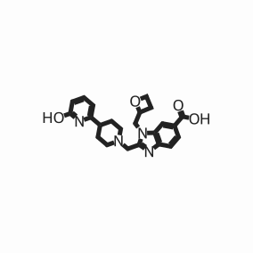 O=C(O)c1ccc2nc(CN3CCC(c4cccc(O)n4)CC3)n(CC3CCO3)c2c1